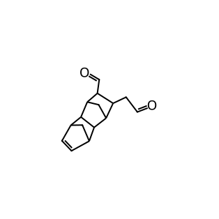 O=CCC1C(C=O)C2CC1C1C3C=CC(C3)C21